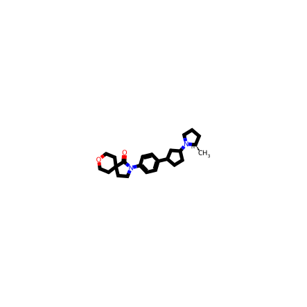 C[C@H]1CCCN1C1CCC(c2ccc(N3CCC4(CCOCC4)C3=O)cc2)C1